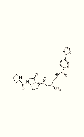 CC(CCNC(=O)c1ccc(-c2cccs2)cc1)CC(=O)N1CCC2C1C(=O)CN2C(=O)C1CCCN1